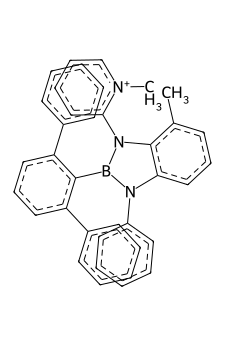 Cc1cccc2c1N(c1cccc[n+]1C)B(c1c(-c3ccccc3)cccc1-c1ccccc1)N2c1ccccc1